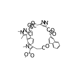 COC(=O)c1c2c3ccc(Cl)c(c3n1C)-c1c(nn(C)c1C)CS(=O)(=O)Cc1cc(n(C)n1)CS(=O)(=O)c1cc(c3ccccc3c1)OCCC2